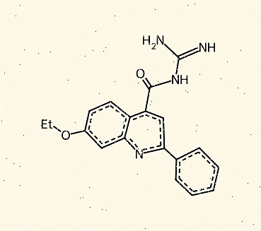 CCOc1ccc2c(C(=O)NC(=N)N)cc(-c3ccccc3)nc2c1